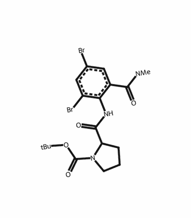 CNC(=O)c1cc(Br)cc(Br)c1NC(=O)C1CCCN1C(=O)OC(C)(C)C